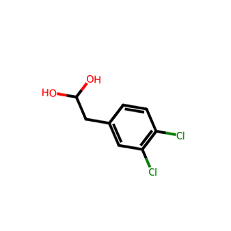 OC(O)Cc1ccc(Cl)c(Cl)c1